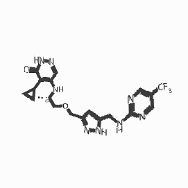 C[C@@H](COCc1cc(CNc2ncc(C(F)(F)F)cn2)[nH]n1)Nc1cn[nH]c(=O)c1C1CC1